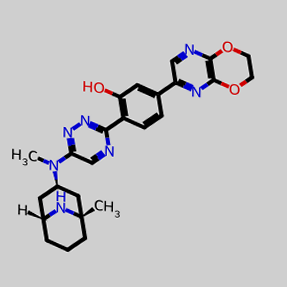 CN(c1cnc(-c2ccc(-c3cnc4c(n3)OCCO4)cc2O)nn1)[C@@H]1C[C@H]2CCC[C@@](C)(C1)N2